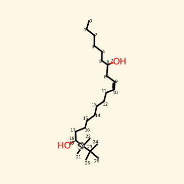 CCCCCCC(O)C/C=C\CCCCCCC[C@H](O)[Si](C)(C)C(C)(C)C